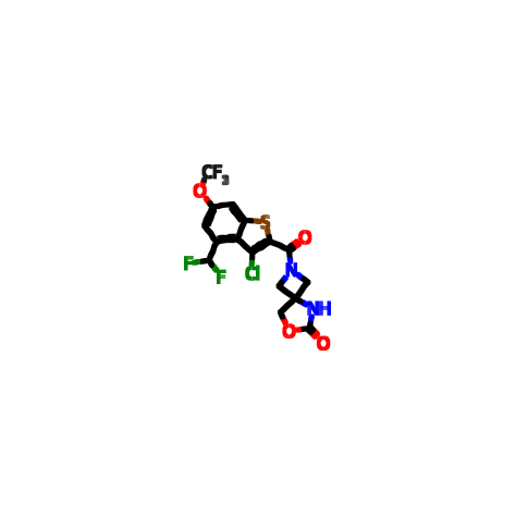 O=C1NC2(CO1)CN(C(=O)c1sc3cc(OC(F)(F)F)cc(C(F)F)c3c1Cl)C2